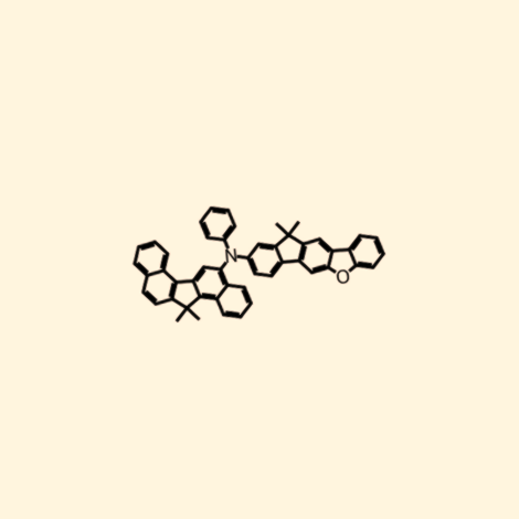 CC1(C)c2cc(N(c3ccccc3)c3cc4c(c5ccccc35)C(C)(C)c3ccc5ccccc5c3-4)ccc2-c2cc3oc4ccccc4c3cc21